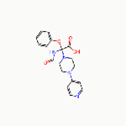 O=CNC(Oc1ccccc1)(C(=O)O)N1CCN(c2ccncc2)CC1